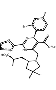 COC(=O)C1=C(CN2CC(F)(F)C[C@H]2C[C@@H](C)C(=O)O)NC(c2nccs2)=N[C@H]1c1ccc(F)cc1Br